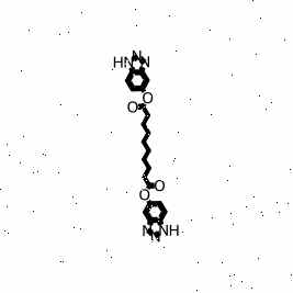 O=C(CCCCCCCCC(=O)Oc1ccc2[nH]nnc2c1)Oc1ccc2[nH]nnc2c1